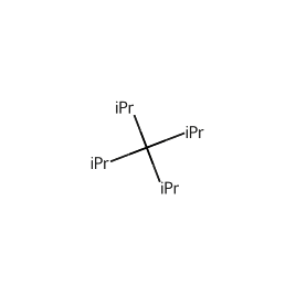 CC(C)C(C(C)C)(C(C)C)C(C)C